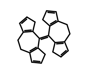 C1=CC2=C(C1)C(=C1C3=C(C=CC3)CCC3=C1CC=C3)C1=C(C=CC1)CC2